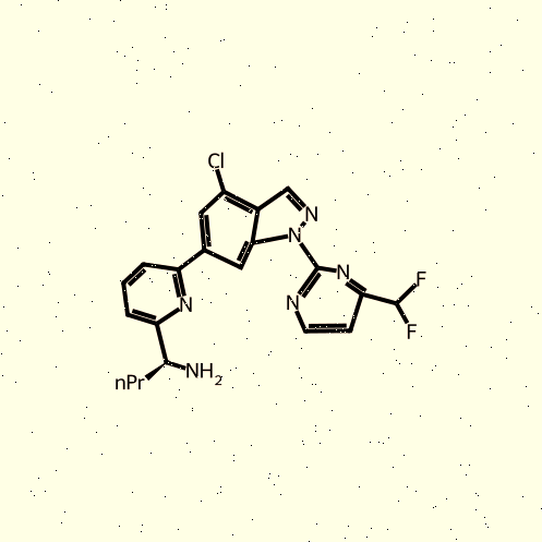 CCC[C@H](N)c1cccc(-c2cc(Cl)c3cnn(-c4nccc(C(F)F)n4)c3c2)n1